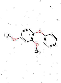 COc1ccc(Oc2cc[c]cc2)c(OC)c1